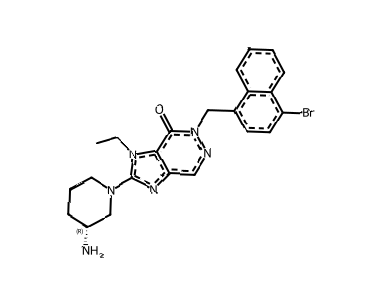 CCn1c(N2CCC[C@@H](N)C2)nc2cnn(Cc3ccc(Br)c4ccccc34)c(=O)c21